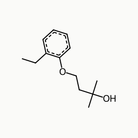 CCc1ccccc1OCCC(C)(C)O